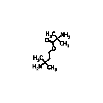 CC(C)(N)CCOC(=O)C(C)(C)N